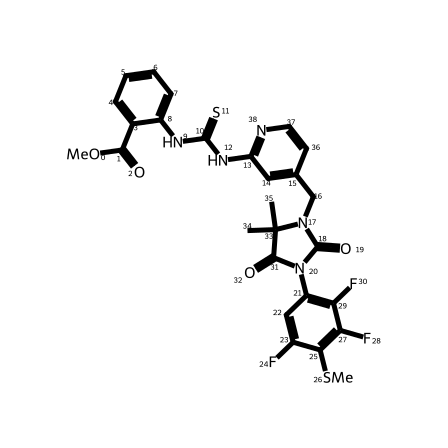 COC(=O)c1ccccc1NC(=S)Nc1cc(CN2C(=O)N(c3cc(F)c(SC)c(F)c3F)C(=O)C2(C)C)ccn1